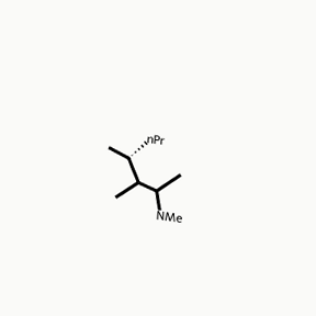 CCC[C@@H](C)C(C)C(C)NC